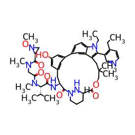 CCc1ccncc1-c1c2c3cc(ccc3n1CC)-c1cc(O)cc(c1)C[C@H](NC(=O)[C@H](C(C)C)N(C)C(=O)CN(C)C(=O)[C@@H]1CN1OC)C(=O)N1CCC[C@H](N1)C(=O)OCC(C)(C)C2